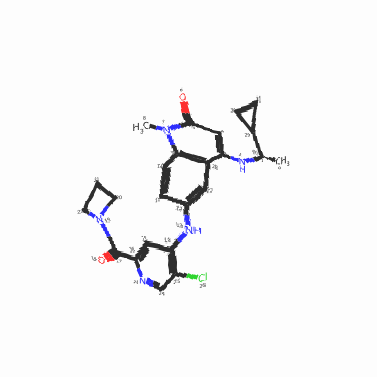 C[C@@H](Nc1cc(=O)n(C)c2ccc(Nc3cc(C(=O)N4CCC4)ncc3Cl)cc12)C1CC1